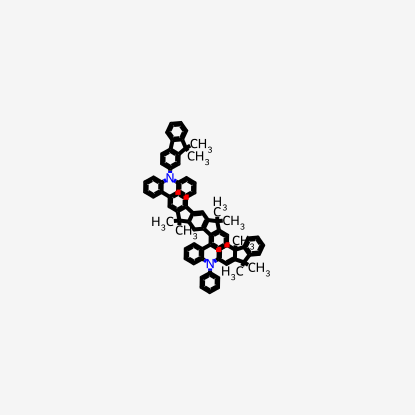 CC1(C)C2=CC(N(c3ccccc3)c3ccccc3-c3cccc4c3C3=C(C=C5c6ccc(-c7ccccc7N(c7ccccc7)c7ccc8c(c7)C(C)(C)c7ccccc7-8)cc6C(C)(C)C5C3)C4(C)C)=CCC2(C)c2ccccc21